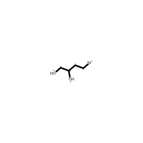 [2H]CCC(O)CO